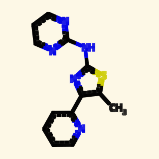 Cc1sc(Nc2ncccn2)nc1-c1ccccn1